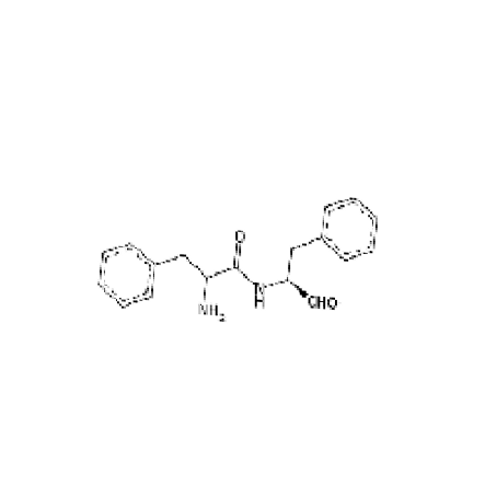 NC(Cc1ccccc1)C(=O)N[C@H]([C]=O)Cc1ccccc1